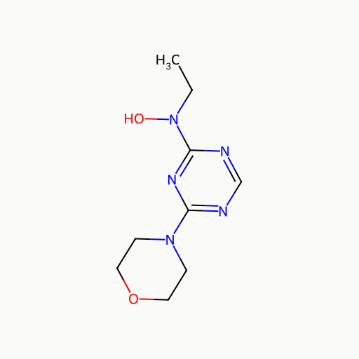 CCN(O)c1ncnc(N2CCOCC2)n1